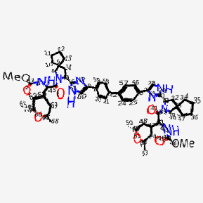 COC(=O)NC(C(=O)N1CC2(CCCC2)C[C@H]1c1nc(-c2ccc(-c3ccc(-c4c[nH]c([C@@H]5CC6(CCCC6)CN5C(=O)[C@@H](NC(=O)OC)C5C[C@@H](C)O[C@H](C)C5)n4)cc3)cc2)c[nH]1)C1C[C@@H](C)O[C@H](C)C1